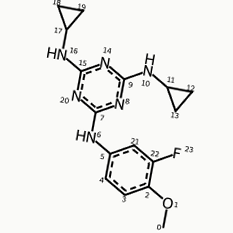 COc1ccc(Nc2nc(NC3CC3)nc(NC3CC3)n2)cc1F